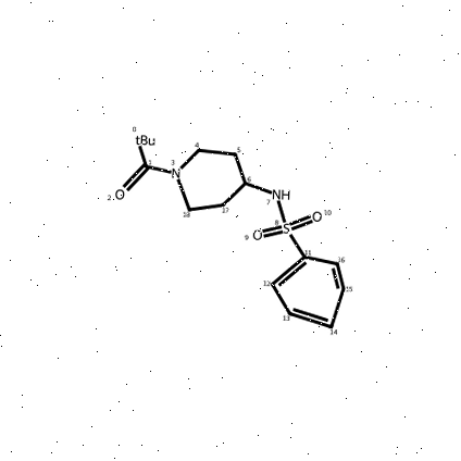 CC(C)(C)C(=O)N1CCC(NS(=O)(=O)c2ccccc2)CC1